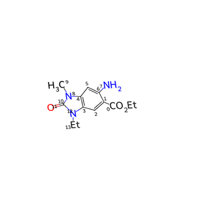 CCOC(=O)c1cc2c(cc1N)n(C)c(=O)n2CC